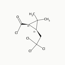 CC1(C)[C@H](C(=O)Cl)[C@@H]1CC(Cl)(Cl)Cl